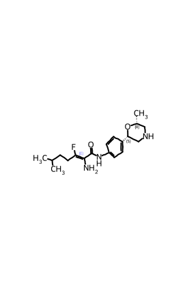 CC(C)CC/C(F)=C(\N)C(=O)Nc1ccc([C@H]2CNC[C@@H](C)O2)cc1